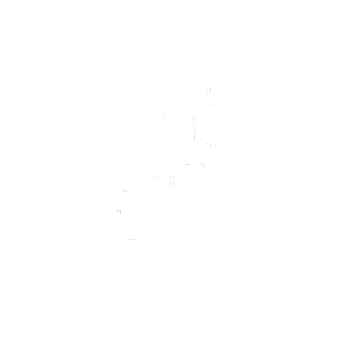 Cn1nc(C(F)(F)F)cc1C(=O)Nc1cc(-c2c(F)cccc2Cl)[nH]n1